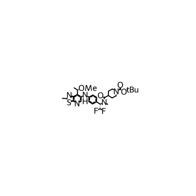 CO[C@@H](C)c1c(Nc2ccc([C@@H](C(F)F)N(C)C(=O)C3CCN(C(=O)OC(C)(C)C)CC3)cc2)cnc2sc(C)nc12